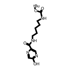 CC(C)(C)OC(=O)NCCCCCNC(=O)c1cnc(O)cn1